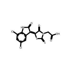 O=C(O)CN1C(=O)C(=C2C(=O)Nc3c(Cl)cc(Cl)cc32)SC1=S